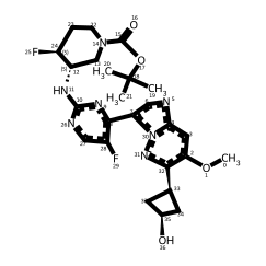 COc1cc2ncc(-c3nc(N[C@H]4CN(C(=O)OC(C)(C)C)CC[C@@H]4F)ncc3F)n2nc1[C@H]1C[C@@H](O)C1